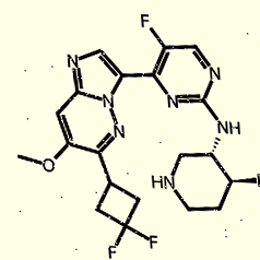 COc1cc2ncc(-c3nc(N[C@H]4CNCC[C@@H]4F)ncc3F)n2nc1C1CC(F)(F)C1